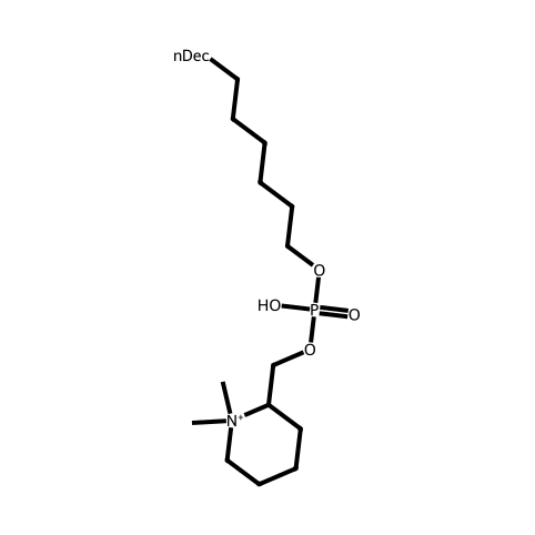 CCCCCCCCCCCCCCCCOP(=O)(O)OCC1CCCC[N+]1(C)C